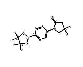 CC1(C)CC(=O)N(c2ccc(B3OC(C)(C)C(C)(C)O3)cc2)C1